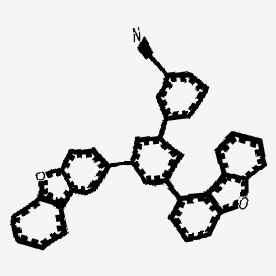 N#Cc1cccc(-c2cc(-c3ccc4oc5ccccc5c4c3)cc(-c3cccc4oc5ccccc5c34)c2)c1